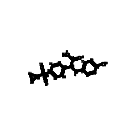 O=C(O)C(Oc1ccc(Cl)cc1)c1ccc(S(=O)(=O)C2CC2)cc1